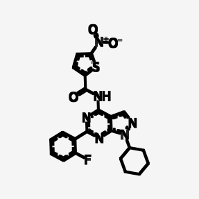 O=C(Nc1nc(-c2ccccc2F)nc2c1cnn2C1CCCCC1)c1ccc([N+](=O)[O-])s1